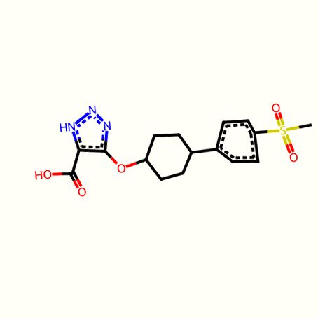 CS(=O)(=O)c1ccc(C2CCC(Oc3nn[nH]c3C(=O)O)CC2)cc1